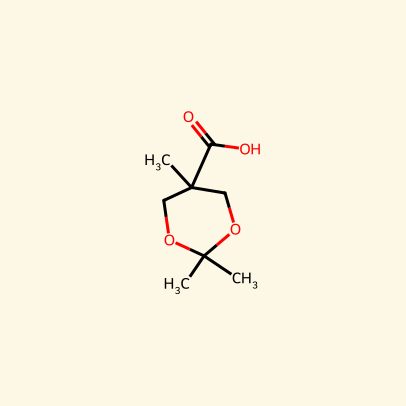 CC1(C)OCC(C)(C(=O)O)CO1